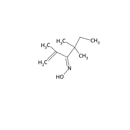 C=C(C)/C(=N\O)C(C)(C)CC